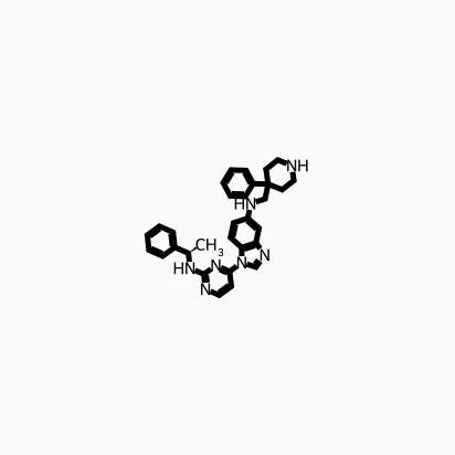 C[C@H](Nc1nccc(-n2cnc3cc(NCC4(c5ccccc5)CCNCC4)ccc32)n1)c1ccccc1